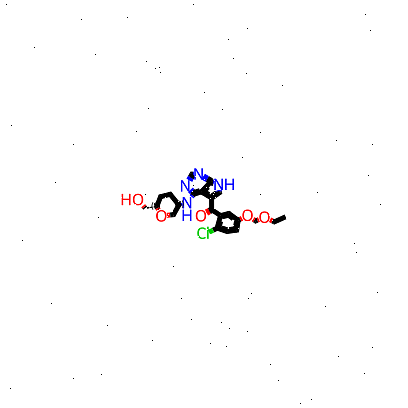 CCOCOc1ccc(Cl)c(C(=O)c2c[nH]c3ncnc(N[C@@H]4CC[C@@H](CO)OC4)c23)c1